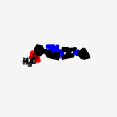 CS(=O)(=O)c1cccc(-c2ccc(N3CCC4(CC3)CCN(C3CCC3)CC4)nn2)c1